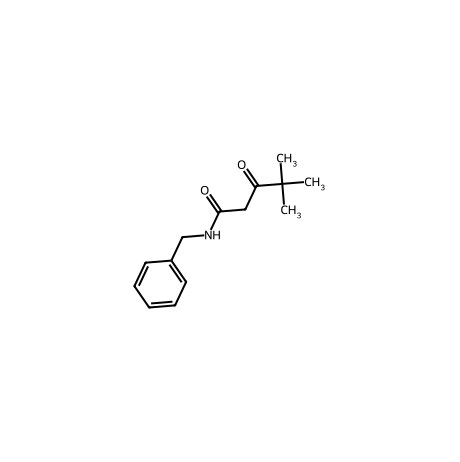 CC(C)(C)C(=O)CC(=O)NCc1ccccc1